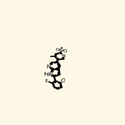 Cc1cc(S(C)(=O)=O)ncc1-c1cnc2[nH]c(-c3c(F)cccc3Cl)cc2c1